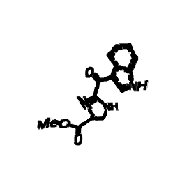 COC(=O)C1CNC(C(=O)c2c[nH]c3ccccc23)=N1